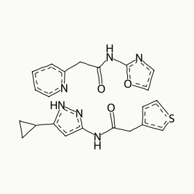 O=C(Cc1ccccn1)Nc1ncco1.O=C(Cc1ccsc1)Nc1cc(C2CC2)[nH]n1